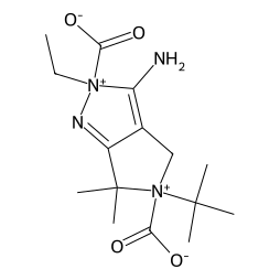 CC[N+]1(C(=O)[O-])N=C2C(=C1N)C[N+](C(=O)[O-])(C(C)(C)C)C2(C)C